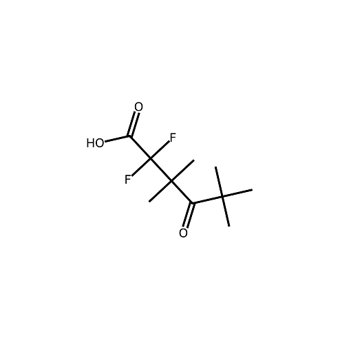 CC(C)(C)C(=O)C(C)(C)C(F)(F)C(=O)O